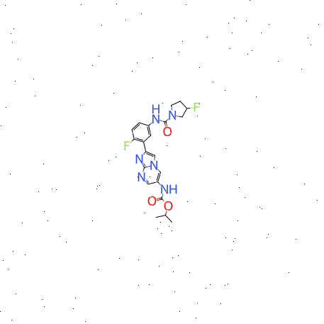 CC(C)OC(=O)Nc1cnc2nc(-c3cc(NC(=O)N4CCC(F)C4)ccc3F)cn2c1